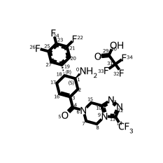 N[C@H]1CC(C(=O)N2CCn3c(nnc3C(F)(F)F)C2)=CC[C@@H]1c1cc(F)c(F)c(F)c1.O=C(O)C(F)(F)F